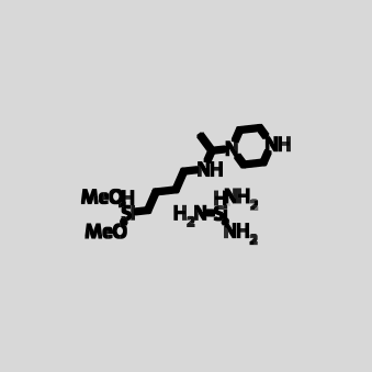 CO[SiH](CCCCNC(C)N1CCNCC1)OC.N[SiH](N)N